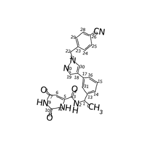 CC(NC(=O)c1cc(=O)[nH]c(=O)[nH]1)c1cccc(-c2cnn(Cc3ccc(C#N)cc3)c2)c1